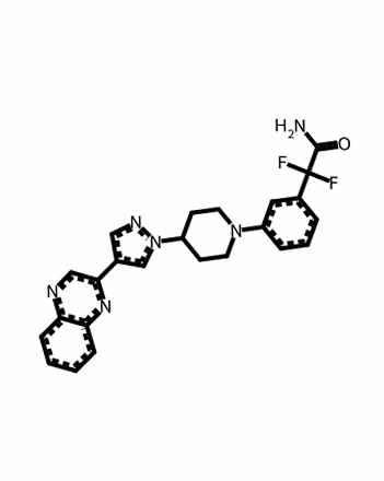 NC(=O)C(F)(F)c1cccc(N2CCC(n3cc(-c4cnc5ccccc5n4)cn3)CC2)c1